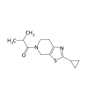 CC(C)C(=O)N1CCc2nc(C3CC3)sc2C1